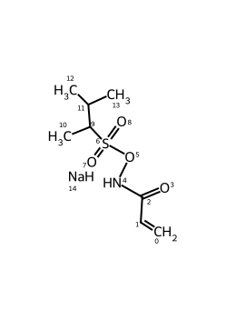 C=CC(=O)NOS(=O)(=O)C(C)C(C)C.[NaH]